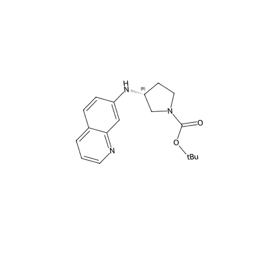 CC(C)(C)OC(=O)N1CC[C@@H](Nc2ccc3cccnc3c2)C1